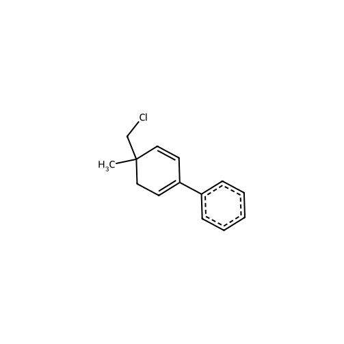 CC1(CCl)C=CC(c2ccccc2)=CC1